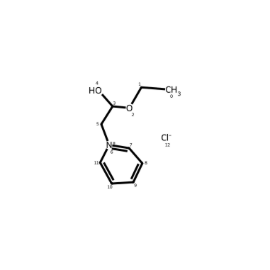 CCOC(O)C[n+]1ccccc1.[Cl-]